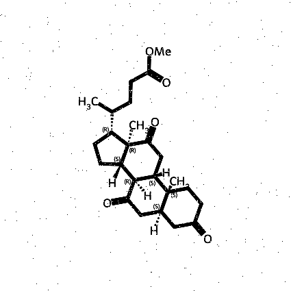 COC(=O)CCC(C)[C@H]1CC[C@H]2[C@@H]3C(=O)C[C@@H]4CC(=O)CC[C@]4(C)[C@H]3CC(=O)[C@]12C